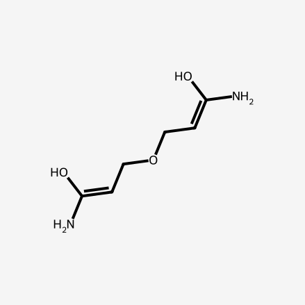 NC(O)=CCOCC=C(N)O